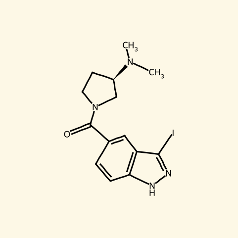 CN(C)[C@@H]1CCN(C(=O)c2ccc3[nH]nc(I)c3c2)C1